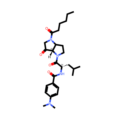 CCCCCC(=O)N1CC(=O)[C@@H]2C1CCN2C(=O)[C@H](CC(C)C)NC(=O)c1ccc(N(C)C)cc1